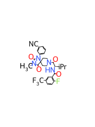 CC(C)[C@@H](NC(=O)c1cc(C(F)(F)F)ccc1F)C(=O)N1CCC2(CC1)C(=O)N(C)C(=O)N2c1cccc(C#N)c1